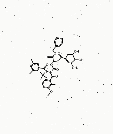 COc1cccc(C(=O)N(C(=O)OC(OC(=O)C2=CC(O)C(O)C(O)C2)C(=O)OCc2ccccc2)N(C(=O)c2cc(C)cc(C)c2)C(C)(C)C)c1C